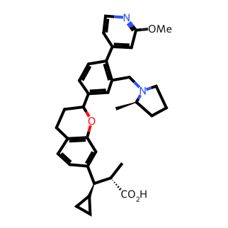 COc1cc(-c2ccc(C3CCc4ccc([C@H](C5CC5)[C@H](C)C(=O)O)cc4O3)cc2CN2CCC[C@H]2C)ccn1